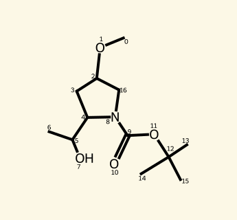 COC1CC(C(C)O)N(C(=O)OC(C)(C)C)C1